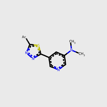 CC(=O)c1nnc(-c2cncc(N(C)C)c2)s1